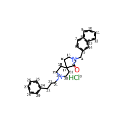 Cl.O=C1N(Cc2ccc3ccccc3c2)CCC12CCN(CCCc1ccccc1)CC2